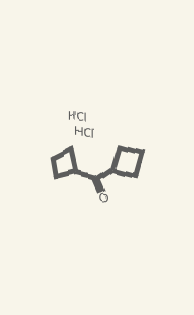 Cl.Cl.O=C(C1CCC1)C1CCC1